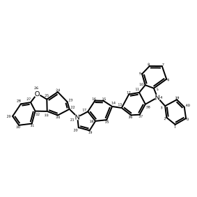 c1ccc(-n2c3ccccc3c3cc(-c4ccc5c(ccn5-c5ccc6oc7ccccc7c6c5)c4)ccc32)cc1